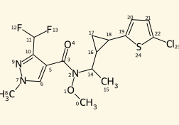 CON(C(=O)c1cn(C)nc1C(F)F)C(C)C1CC1c1ccc(Cl)s1